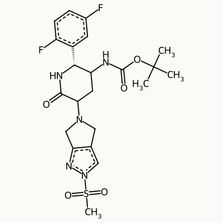 CC(C)(C)OC(=O)NC1CC(N2Cc3cn(S(C)(=O)=O)nc3C2)C(=O)N[C@@H]1c1cc(F)ccc1F